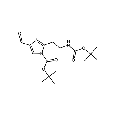 CC(C)(C)OC(=O)NCCc1nc(C=O)cn1C(=O)OC(C)(C)C